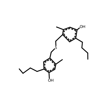 CCCCc1cc(CSCc2cc(CCCC)c(O)cc2C)c(C)cc1O